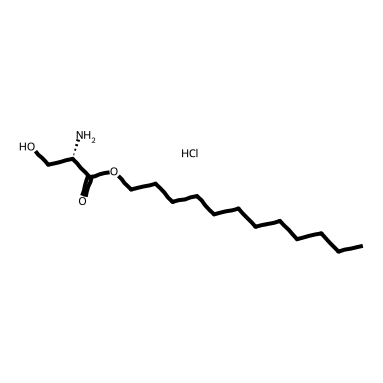 CCCCCCCCCCCCOC(=O)[C@@H](N)CO.Cl